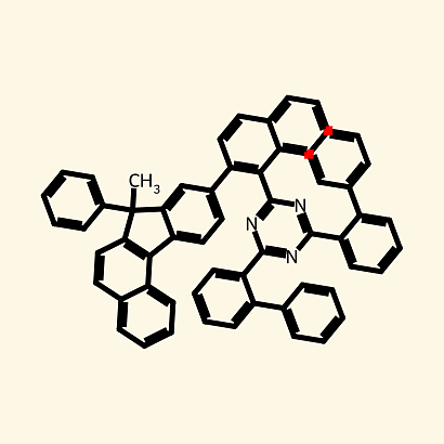 CC1(c2ccccc2)c2cc(-c3ccc4ccccc4c3-c3nc(-c4ccccc4-c4ccccc4)nc(-c4ccccc4-c4ccccc4)n3)ccc2-c2c1ccc1ccccc21